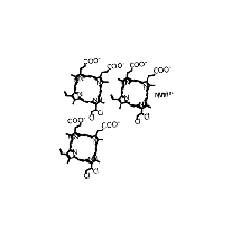 C=CC1=C(C)c2cc3[nH]c(cc4nc(cc5[nH]c(cc1n2)c(C)c5CCC(=O)[O-])C(CCC(=O)[O-])=C4C)c(C)c3C(Cl)CCl.C=CC1=C(C)c2cc3[nH]c(cc4nc(cc5[nH]c(cc1n2)c(C)c5CCC(=O)[O-])C(CCC(=O)[O-])=C4C)c(C)c3C(Cl)CCl.C=CC1=C(C)c2cc3[nH]c(cc4nc(cc5[nH]c(cc1n2)c(C)c5CCC(=O)[O-])C(CCC(=O)[O-])=C4C)c(C)c3C(Cl)CCl.[Mn+3].[Mn+3]